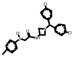 Cc1ccc([S+]([O-])CC(=O)NC2CN(C(c3ccc(Cl)cc3)c3ccc(Cl)cc3)C2)cc1